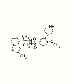 COc1ccc(S(=O)(=O)NCC(C)(C)c2cccc3ccc(C)cc23)cc1N1CCNCC1